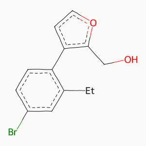 CCc1cc(Br)ccc1-c1ccoc1CO